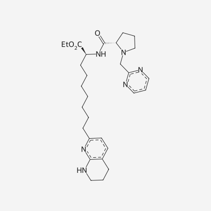 CCOC(=O)[C@H](CCCCCCCc1ccc2c(n1)NCCC2)NC(=O)[C@@H]1CCCN1Cc1ncccn1